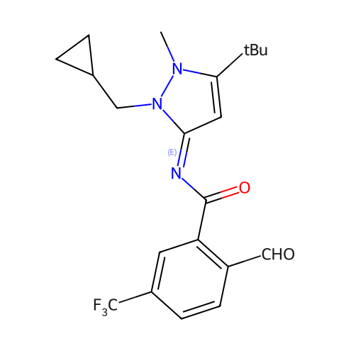 Cn1c(C(C)(C)C)c/c(=N\C(=O)c2cc(C(F)(F)F)ccc2C=O)n1CC1CC1